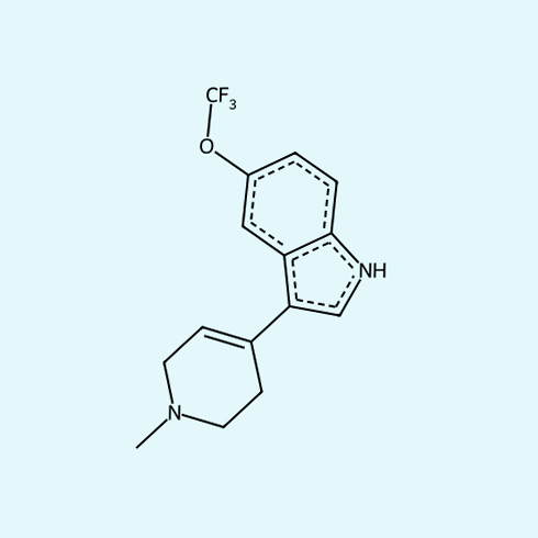 CN1CC=C(c2c[nH]c3ccc(OC(F)(F)F)cc23)CC1